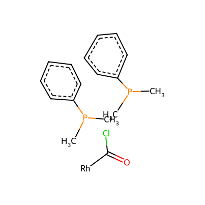 CP(C)c1ccccc1.CP(C)c1ccccc1.O=[C](Cl)[Rh]